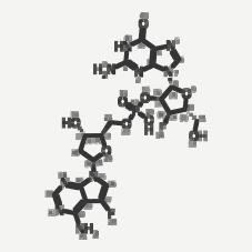 Nc1nc2c(ncn2[C@@H]2O[C@H](CO)[C@@H](F)[C@H]2OP(=O)(O)OC[C@H]2O[C@@H](n3cc(F)c4c(N)ncnc43)C[C@@H]2O)c(=O)[nH]1